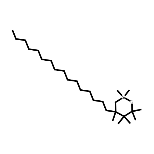 CCCCCCCCCCCCCCCCC1(C)C[Si](C)(C)OC(C)(C)C1(C)C